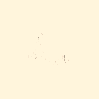 C=C(C)C(=O)Nc1ccc(Oc2ccc(-c3ccc(Oc4ccc(NC(=O)C(=C)C)cc4)c(S(=O)(=O)O)c3)cc2)cc1